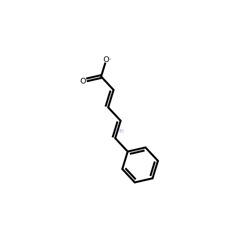 [O]C(=O)C=C/C=C/c1ccccc1